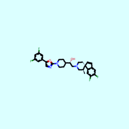 C[C@H]1CN(C[C@@H](O)C2CCN(c3ncc(-c4cc(F)cc(F)c4)o3)CC2)CC[C@@]12C=Cc1cc(F)c(F)cc12